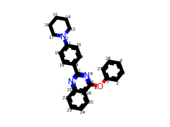 c1ccc(Oc2nc(-c3ccc(N4CCCCC4)cc3)nc3ccccc23)cc1